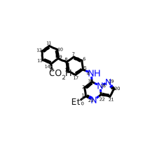 CCc1cc(Nc2ccc(-c3ccccc3C(=O)O)cc2)n2nccc2n1